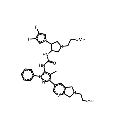 COCCN1CC(NC(=O)Nc2c(C)c(-c3cnc4c(c3)CN(CCO)C4)nn2-c2ccccc2)C(n2cc(F)c(F)c2)C1